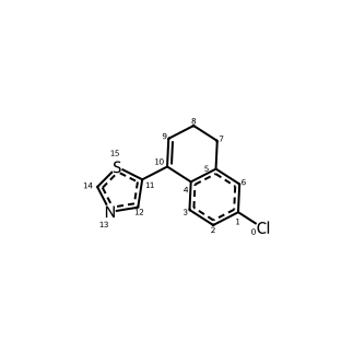 Clc1ccc2c(c1)CCC=C2c1cncs1